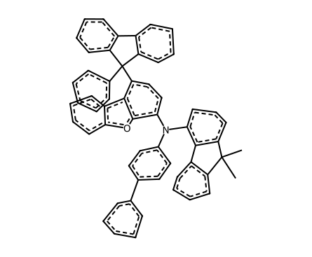 CC1(C)c2ccccc2-c2c(N(c3ccc(-c4ccccc4)cc3)c3ccc(C4(c5ccccc5)c5ccccc5-c5ccccc54)c4c3oc3ccccc34)cccc21